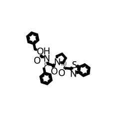 O=C(N[C@@H](Cc1ccccc1)C(=O)N1CCC[C@@H]1C(=O)c1nc2ccccc2s1)OCc1ccccc1